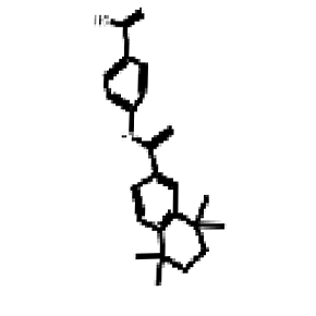 C=C(O)c1ccc(NC(=C)c2ccc3c(c2)C(C)(C)CCC3(C)C)cc1